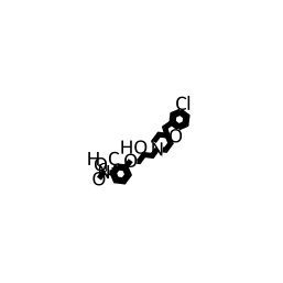 Cc1c(OC[C@@H](O)CN2CCC3(CC2)Cc2cc(Cl)ccc2O3)cccc1[N+](=O)[O-]